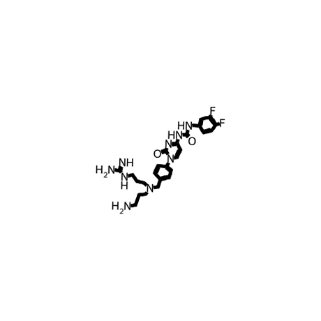 N=C(N)NCCCN(CCCN)Cc1ccc(-n2ccc(NC(=O)Nc3ccc(F)c(F)c3)nc2=O)cc1